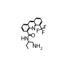 CCC(CN)NC(=O)c1cccc2cc3cccc(C(F)(F)F)c3nc12